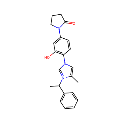 Cc1cn(-c2ccc(N3CCCC3=O)cc2O)c[n+]1C(C)c1ccccc1